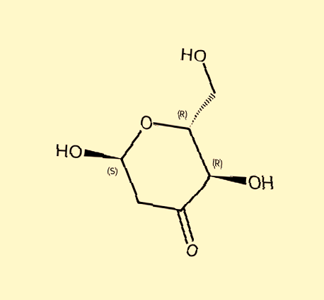 O=C1C[C@@H](O)O[C@H](CO)[C@H]1O